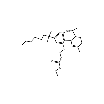 C=C(C)C1CCC(C)=CC1c1c(O)cc(C(C)(C)CCCCCC)cc1OCOC(=O)OCC